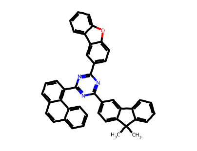 CC1(C)c2ccccc2-c2cc(-c3nc(-c4ccc5oc6ccccc6c5c4)nc(-c4cccc5ccc6ccccc6c45)n3)ccc21